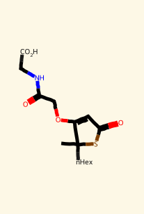 CCCCCCC1(C)SC(=O)C=C1OCC(=O)NCC(=O)O